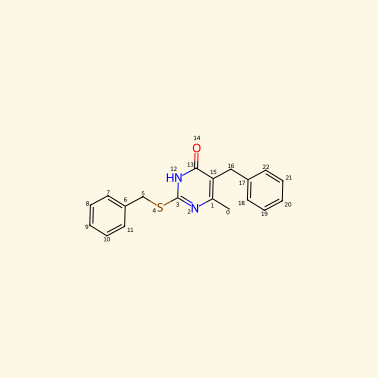 Cc1nc(SCc2ccccc2)[nH]c(=O)c1Cc1ccccc1